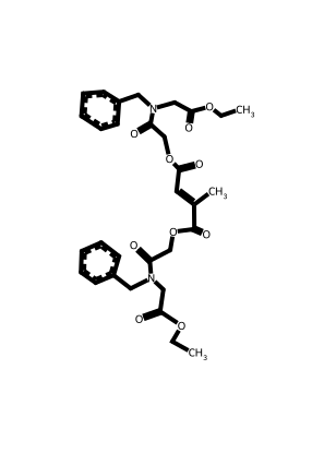 CCOC(=O)CN(Cc1ccccc1)C(=O)COC(=O)/C=C(\C)C(=O)OCC(=O)N(CC(=O)OCC)Cc1ccccc1